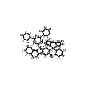 c1ccc(-c2nc(-c3ccccc3)nc(-n3c4cc5c(cc4c4ccc6ccccc6c43)Sc3ccccc3C53c4ccccc4-c4ccccc43)n2)cc1